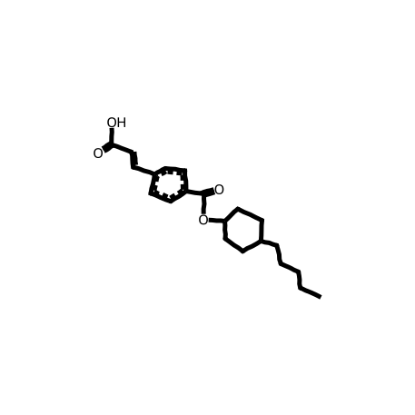 CCCCCC1CCC(OC(=O)c2ccc(C=CC(=O)O)cc2)CC1